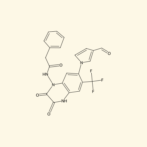 O=Cc1ccn(-c2cc3c(cc2C(F)(F)F)[nH]c(=O)c(=O)n3NC(=O)Cc2ccccc2)c1